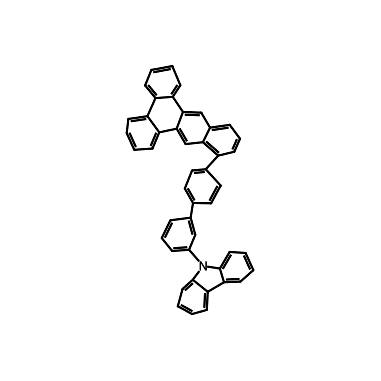 c1cc(-c2ccc(-c3cccc4cc5c6ccccc6c6ccccc6c5cc34)cc2)cc(-n2c3ccccc3c3ccccc32)c1